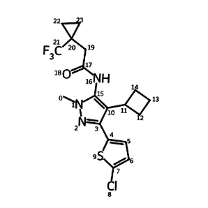 Cn1nc(-c2ccc(Cl)s2)c(C2CCC2)c1NC(=O)CC1(C(F)(F)F)CC1